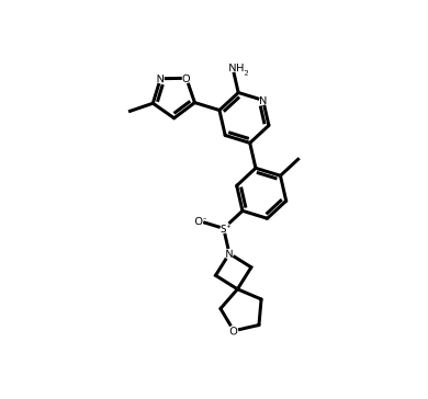 Cc1cc(-c2cc(-c3cc([S+]([O-])N4CC5(CCOC5)C4)ccc3C)cnc2N)on1